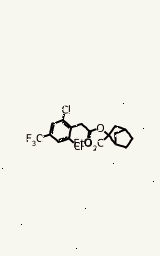 CCOC(=O)C1(OC(=O)Cc2c(Cl)cc(C(F)(F)F)cc2Cl)CC2CCC1C2